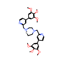 COc1cc(-c2ccnc(CN3CCCN(Cc4cc(-c5cc(OC)c(OC)c(OC)c5)ccn4)CC3)c2)cc(OC)c1OC